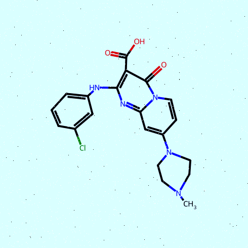 CN1CCN(c2ccn3c(=O)c(C(=O)O)c(Nc4cccc(Cl)c4)nc3c2)CC1